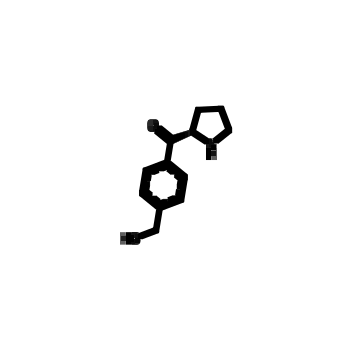 O=C(c1ccc(CO)cc1)[C@H]1CCCN1